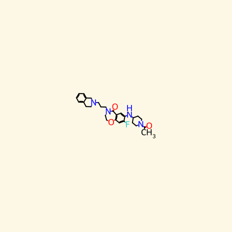 CC(=O)N1CCC(Nc2cc3c(cc2F)OCCN(CCCN2CCc4ccccc4C2)C3=O)CC1